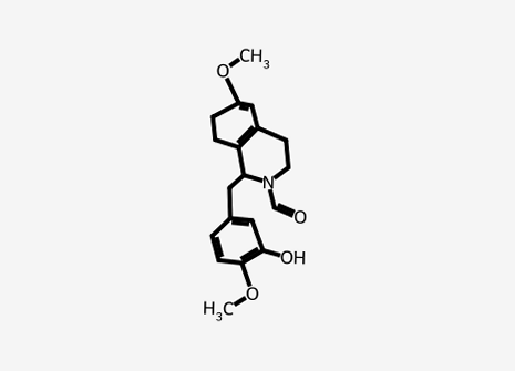 COC1=CC2=C(CC1)C(Cc1ccc(OC)c(O)c1)N(C=O)CC2